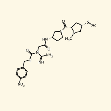 CC(=O)S[C@H]1C[C@@H](C(=O)N2CC[C@H](NC(=O)CN(C(=N)N)C(=O)OCc3ccc([N+](=O)[O-])cc3)C2)N(C)C1